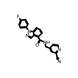 N#Cc1cc(CNC(=O)c2cccc3c2cnn3-c2ccc(F)cc2)ccn1